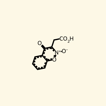 O=C(O)Cc1c(=O)c2ccccc2o[n+]1[O-]